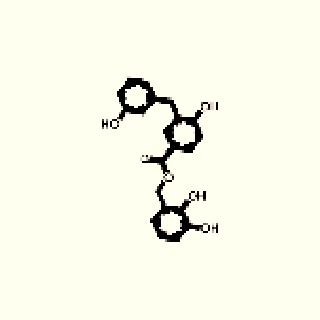 O=C(OCc1cccc(O)c1O)c1ccc(O)c(Cc2cccc(O)c2)c1